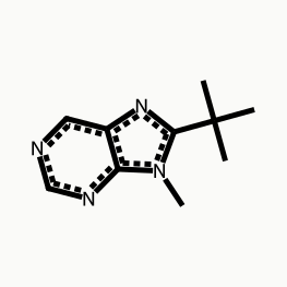 Cn1c(C(C)(C)C)nc2cncnc21